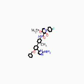 CCOc1ccn(-c2ccc(F)cc2)c(=O)c1C(=O)Nc1ccc(-c2ccc(OCc3ccccc3)c(-c3ccnc(N)n3)c2)c(C)c1